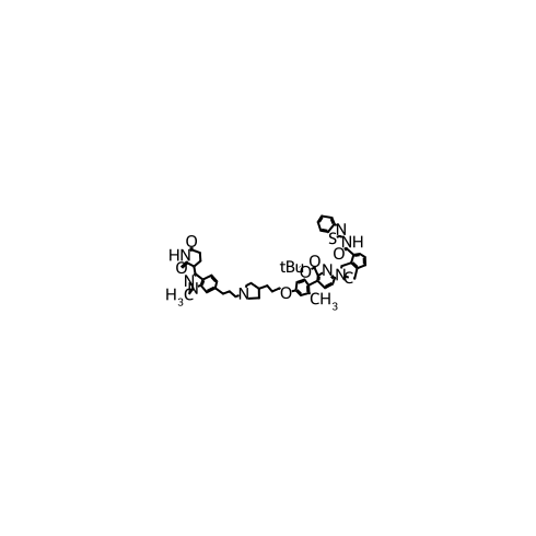 Cc1cc(OCCCC2CCN(CCCc3ccc4c(C5CCC(=O)NC5=O)nn(C)c4c3)CC2)ccc1-c1ccc(N2CCc3cccc(C(=O)Nc4nc5ccccc5s4)c3C2)nc1C(=O)OC(C)(C)C